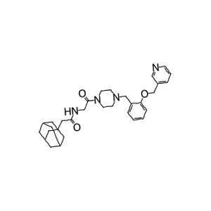 O=C(CC12CC3CC(CC(C3)C1)C2)NCC(=O)N1CCN(Cc2ccccc2OCc2cccnc2)CC1